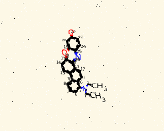 CCN(CC)c1cccc2c1ccc1c2ccc2oc3cc(=O)ccc-3nc21